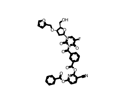 N#Cc1ccc(OC(=O)c2ccccc2)nc1OC(=O)c1cccc(C(=O)n2c(=O)c(F)cn([C@H]3C[C@H](OCc4ccco4)[C@@H](CO)O3)c2=O)c1